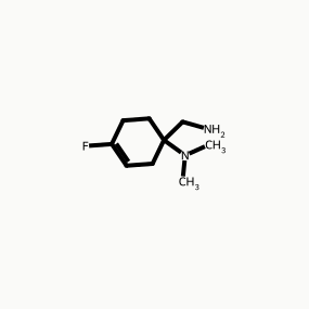 CN(C)C1(CN)CC=C(F)CC1